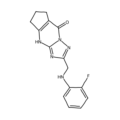 O=c1c2c([nH]c3nc(CNc4ccccc4F)nn13)CCC2